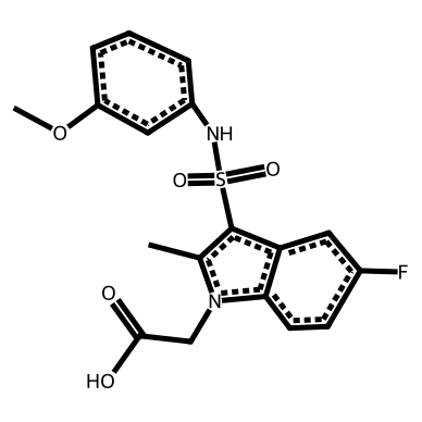 COc1cccc(NS(=O)(=O)c2c(C)n(CC(=O)O)c3ccc(F)cc23)c1